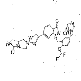 Cn1c(=O)c2ccc(-c3cnc(N4CCN5C(=O)NCC5C4)nc3)cc2n1Cc1cc(Cn2cncn2)ccc1OC(F)F